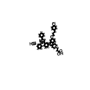 Cl.O=C(O)CCN1CCC2(CC1)COc1cc(OCCCc3ccc(Cl)cc3)ccc12.[Cl-].c1ccc(-c2nn(-c3ccccc3)[n+](-c3ccccc3)n2)cc1